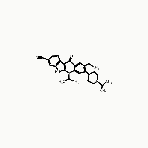 CCc1cc2c(=O)c3c4ccc(C#N)cc4[nH]c3n(C(C)C)c2cc1N1CCN(C(C)C)CC1